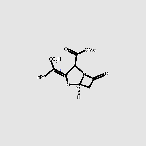 CCC/C(C(=O)O)=C1\O[C@@H]2CC(=O)N2C1C(=O)OC